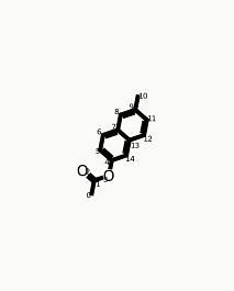 CC(=O)Oc1ccc2cc(C)ccc2c1